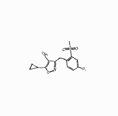 CS(=O)(=O)c1cc(C(F)(F)F)ccc1Cc1noc(C2CC2)c1O